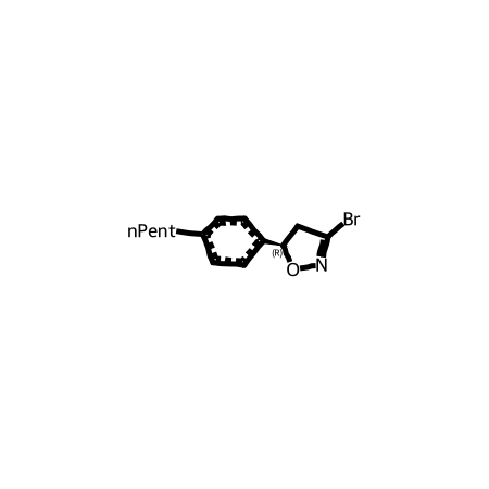 CCCCCc1ccc([C@H]2CC(Br)=NO2)cc1